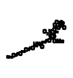 C#CCOCCOCCOCCOCCNC(=O)CCCOc1cc([N+](=O)[O-])c(C(C)OC(=O)ON2C(=O)CCC2=O)cc1OC